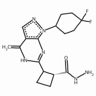 C=C1NC(C2CC[C@H]2C(=O)NN)=Nc2c1cnn2C1CCC(F)(F)CC1